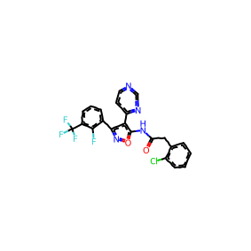 O=C(Cc1ccccc1Cl)Nc1onc(-c2cccc(C(F)(F)F)c2F)c1-c1ccncn1